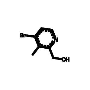 Cc1c(Br)ccnc1CO